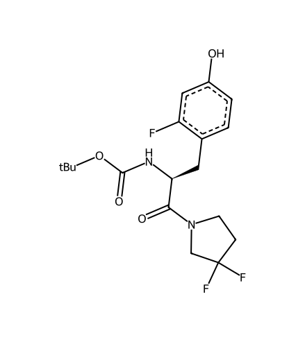 CC(C)(C)OC(=O)N[C@@H](Cc1ccc(O)cc1F)C(=O)N1CCC(F)(F)C1